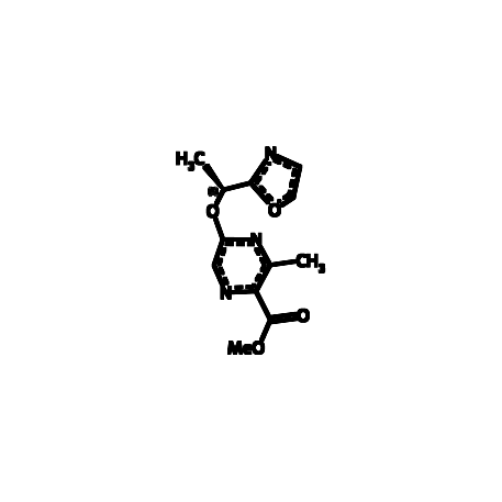 COC(=O)c1ncc(O[C@@H](C)c2ncco2)nc1C